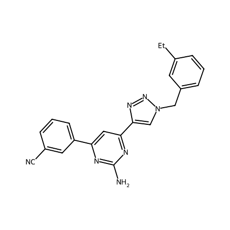 CCc1cccc(Cn2cc(-c3cc(-c4cccc(C#N)c4)nc(N)n3)nn2)c1